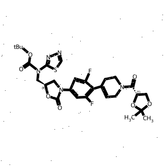 CC(C)(C)OC(=O)N(C[C@H]1CN(c2cc(F)c(C3=CCN(C(=O)[C@@H]4COC(C)(C)O4)CC3)c(F)c2)C(=O)O1)c1nncs1